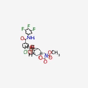 COC(=O)N1C[C@]2(CC3C(S(=O)(=O)c4cc(C(=O)Nc5cc(F)c(F)c(F)c5)ccc4Cl)[C@H](C[C@H]3C)C2)OC1=O